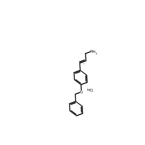 Cl.NC/C=C/c1ccc(OCc2ccccc2)cc1